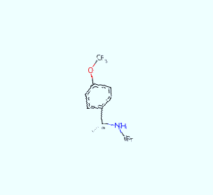 CC(C)N[C@H](C)c1ccc(OC(F)(F)F)cc1